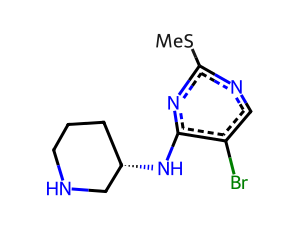 CSc1ncc(Br)c(N[C@H]2CCCNC2)n1